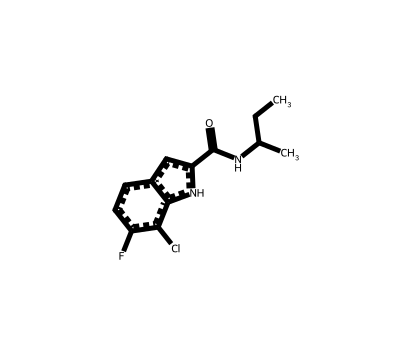 CCC(C)NC(=O)c1cc2ccc(F)c(Cl)c2[nH]1